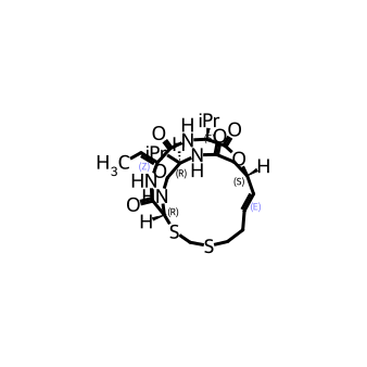 C/C=C1\NC(=O)[C@@H]2NC(=O)[C@@H](C(C)C)NC(=O)C[C@@H](/C=C/CCSCS2)OC(=O)[C@H](C(C)C)NC1=O